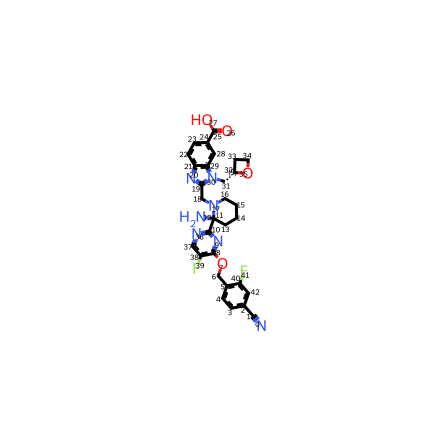 N#Cc1ccc(COc2nc(C3(N)CCCCN3Cc3nc4ccc(C(=O)O)cc4n3C[C@@H]3CCO3)ncc2F)c(F)c1